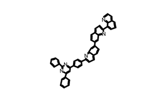 c1ccc(-c2cc(-c3ccc(-c4ccc5ccc(-c6ccc7ccc(-c8cccc9cccnc89)nc7c6)cc5n4)cc3)nc(-c3ccccc3)n2)cc1